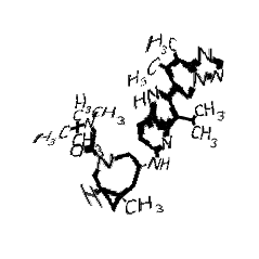 Cc1c(-c2[nH]c3ccc(N[C@H]4CN(C(=O)CN(C)C(C)(C)C)C[C@H]5C[C@]5(C)C4)nc3c2C(C)C)cn2ncnc2c1C